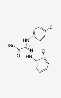 CC(C)(C)C(=O)/C(=N\Nc1ccccc1Cl)Nc1ccc(Cl)cc1